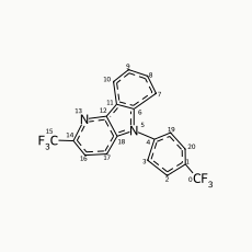 FC(F)(F)c1ccc(-n2c3ccccc3c3nc(C(F)(F)F)ccc32)cc1